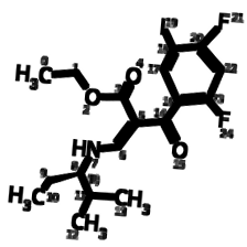 CCOC(=O)C(=CN[C@H](CC)C(C)C)C(=O)c1cc(I)c(F)cc1F